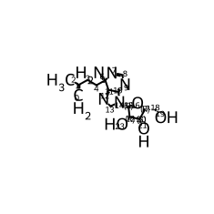 C=C(C)CCC1(N)N=CN=C2C1=NCN2[C@@H]1O[C@H](CO)[C@@H](O)[C@H]1O